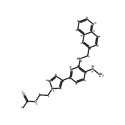 CC(=O)OCCn1cc(-c2ccc(NN)c(NCc3ccc4ncccc4c3)n2)cn1